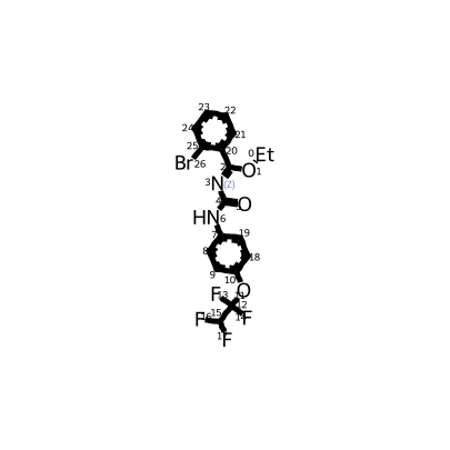 CCO/C(=N\C(=O)Nc1ccc(OC(F)(F)C(F)F)cc1)c1ccccc1Br